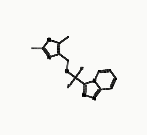 Cc1nc(COC(F)(F)c2nnc3ccccn23)c(C)o1